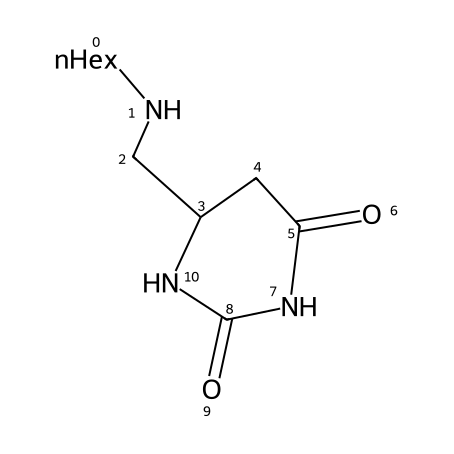 [CH2]CCCCCNCC1CC(=O)NC(=O)N1